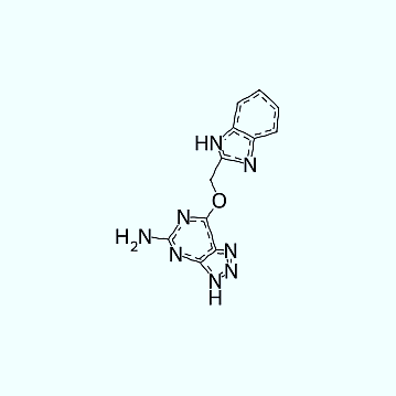 Nc1nc(OCc2nc3ccccc3[nH]2)c2nn[nH]c2n1